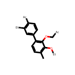 CCOc1c(C)ccc(-c2ccc(C(C)=O)c(CC)c2)c1OCC(C)=O